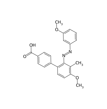 COc1cccc(N=Nc2c(-c3ccc(C(=O)O)cc3)ccc(OC)c2C)c1